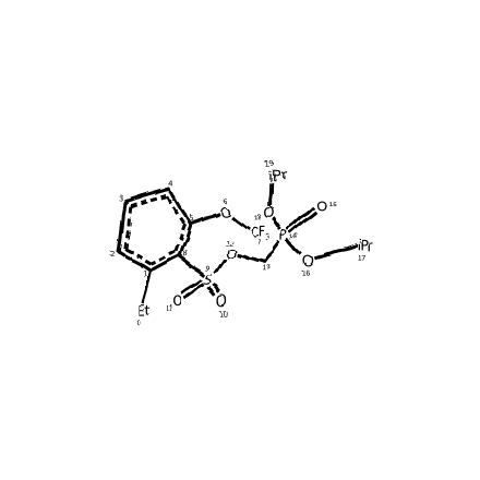 CCc1cccc(OC(F)(F)F)c1S(=O)(=O)OCP(=O)(OC(C)C)OC(C)C